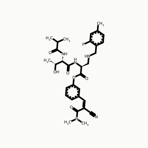 Cc1ccc(CNC[C@H](NC(=O)[C@@H](NC(=O)C(C)C)[C@@H](C)O)C(=O)Oc2cccc(C=C(C#N)C(=O)N(C)C)c2)c(F)c1